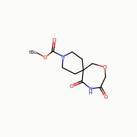 CC(C)(C)OC(=O)N1CCC2(CC1)COCC(=O)NC2=O